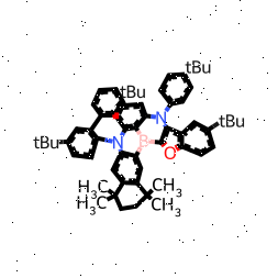 CC(C)(C)c1ccc(N2c3cc(C(C)(C)C)cc4c3B(c3cc5c(cc3N4c3ccc(C(C)(C)C)cc3-c3ccccc3)C(C)(C)CCC5(C)C)c3oc4ccc(C(C)(C)C)cc4c32)cc1